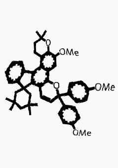 COc1ccc(C2(c3ccc(OC)cc3)C=Cc3c4c(c5c6c(c(OC)cc5c3O2)OC(C)(C)CC6)-c2ccccc2C42CC(C)(C)CC(C)(C)C2)cc1